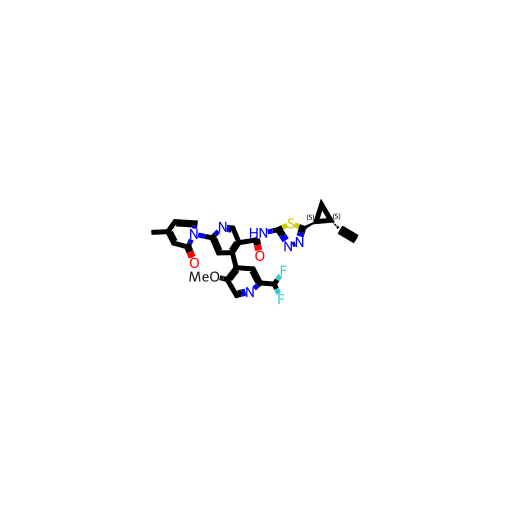 C#C[C@H]1C[C@@H]1c1nnc(NC(=O)c2cnc(-n3ccc(C)cc3=O)cc2-c2cc(C(F)F)ncc2OC)s1